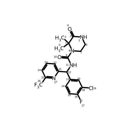 CC1(C)C(=O)NCCN1C(=O)NC(c1ccc(F)c(Cl)c1)c1cccc(C(F)(F)F)n1